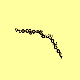 O=C(OC1CCC(c2ccc(OCC3CO3)cc2)CC1)c1ccc(OCC(O)COc2cccc(OCC(O)COc3ccc(C(=O)OC4CCC(c5ccc(OCC6CO6)cc5)CC4)cc3)c2)cc1